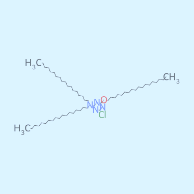 CCCCCCCCCCCCCCCCCCOc1nc(Cl)nc(N(CCCCCCCCCCCCCCCCCC)CCCCCCCCCCCCCCCCCC)n1